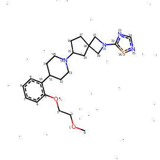 COCCOc1ccccc1C1CCN(C2CCC3(C2)CN(c2ncns2)C3)CC1